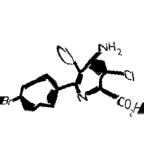 Nc1c(Cl)c(C(=O)O)nc(-c2ccc(Br)cc2)c1Cl